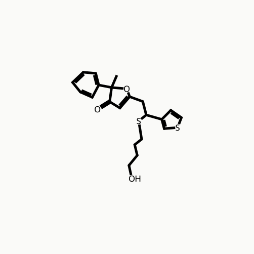 CC1(c2ccccc2)OC(CC(SCCCCO)c2ccsc2)=CC1=O